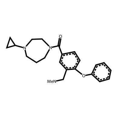 CNCc1cc(C(=O)N2CCCN(C3CC3)CC2)ccc1Oc1ccccc1